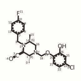 C[C@@H]1C(=C=O)N(Cc2ccc(F)cc2)[C@@H](C)CN1COc1ccc(Cl)cc1O